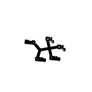 CO[C](OC)C(C)(C)OC